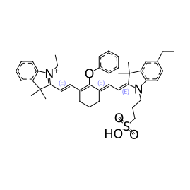 CCc1ccc2c(c1)C(C)(C)/C(=C\C=C1/CCCC(/C=C/C3=[N+](CC)c4ccccc4C3(C)C)=C1Oc1ccccc1)N2CCCS(=O)(=O)O